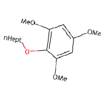 CCCCCCCOc1c(OC)cc(OC)cc1OC